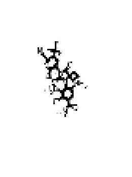 Bc1cc(C(=O)NC)c(F)c(B)c1N1C(=S)N(c2cc(C(F)(F)F)c(C#N)nc2B)C(=O)C12CCC2